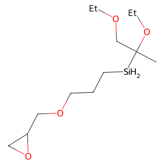 CCOCC(C)(OCC)[SiH2]CCCOCC1CO1